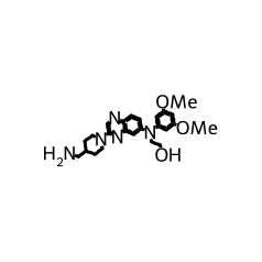 COc1cc(OC)cc(N(CCO)c2ccc3ncc(N4CCC(CN)CC4)nc3c2)c1